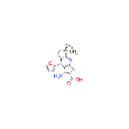 CC1(C)CCc2c1nc1sc(C(=O)O)c(N)c1c2-c1ccco1